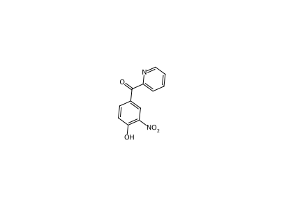 O=C(c1ccc(O)c([N+](=O)[O-])c1)c1ccccn1